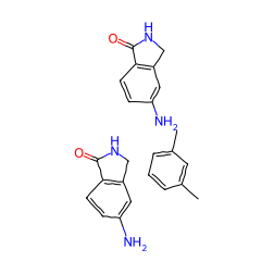 Cc1cccc(C)c1.Nc1ccc2c(c1)CNC2=O.Nc1ccc2c(c1)CNC2=O